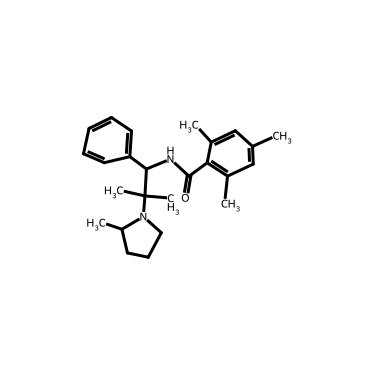 Cc1cc(C)c(C(=O)NC(c2ccccc2)C(C)(C)N2CCCC2C)c(C)c1